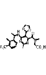 Cc1nc(NC(C)c2cccc(C(F)(F)F)c2C)c(C2OCCO2)c(C(=O)N(C)CC(=O)O)n1